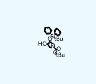 CC(C)(C)OC(=O)N1C[C@H](O[Si](c2ccccc2)(c2ccccc2)C(C)(C)C)[C@@H](O)C1